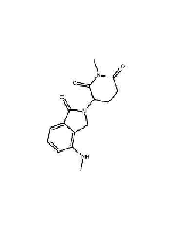 CNc1cccc2c1CN(C1CCC(=O)N(I)C1=O)C2=O